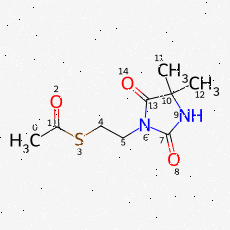 CC(=O)SCCN1C(=O)NC(C)(C)C1=O